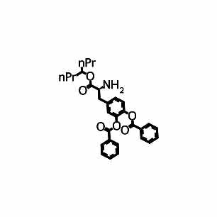 CCCC(CCC)OC(=O)[C@@H](N)Cc1ccc(OC(=O)c2ccccc2)c(OC(=O)c2ccccc2)c1